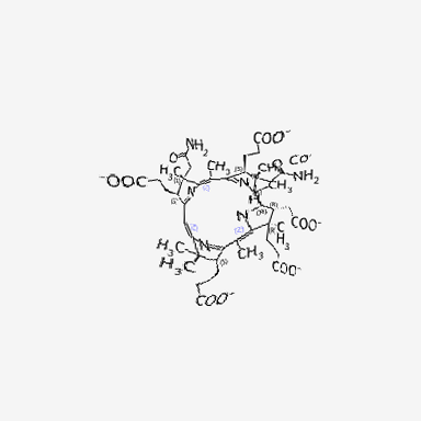 C/C1=C2/[N-][C@H]([C@H](CC(=O)[O-])[C@@]2(C)CCC(=O)[O-])[C@]2(C)N=C(/C(C)=C3N=C(/C=C4N=C1[C@@H](CCC(=O)[O-])C\4(C)C)[C@@H](CCC(=O)[O-])[C@]\3(C)CC(N)=O)[C@@H](CCC(=O)[O-])[C@]2(C)CC(N)=O.[Co]